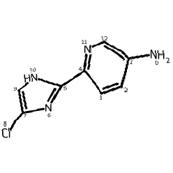 Nc1ccc(-c2nc(Cl)c[nH]2)nc1